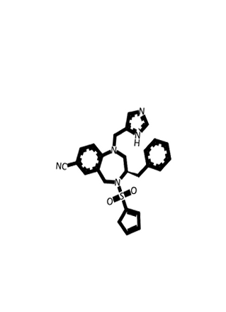 N#Cc1ccc2c(c1)CN(S(=O)(=O)C1=CC=CC1)[C@H](Cc1ccccc1)CN2Cc1cnc[nH]1